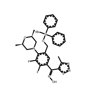 Cc1nnsc1/C(=N\O)c1cc(CO[Si](c2ccccc2)(c2ccccc2)C(C)(C)C)c(N2C[C@@H](C)O[C@@H](C)C2)c(F)c1F